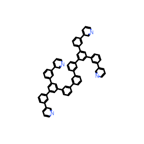 c1cncc(-c2cccc(-c3cc(-c4cccc(-c5cccnc5)c4)cc(-c4cccc(-c5cccc(-c6cccc(-c7cc(-c8cccc(-c9cccnc9)c8)cc(-c8cccc(-c9cccnc9)c8)c7)c6)c5)c4)c3)c2)c1